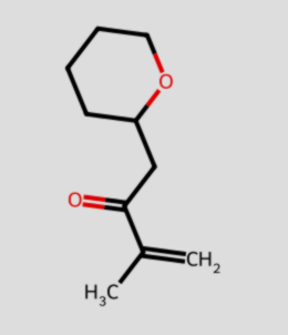 C=C(C)C(=O)CC1CCCCO1